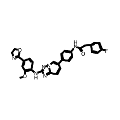 COc1cc(C2=NCCO2)ccc1Nc1nc2ccc(-c3ccc(NC(=O)Cc4ccc(F)cc4)cc3)cn2n1